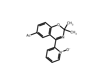 CC(=O)c1ccc2c(c1)C(c1cccc[n+]1[O-])=NC(C)(C)O2